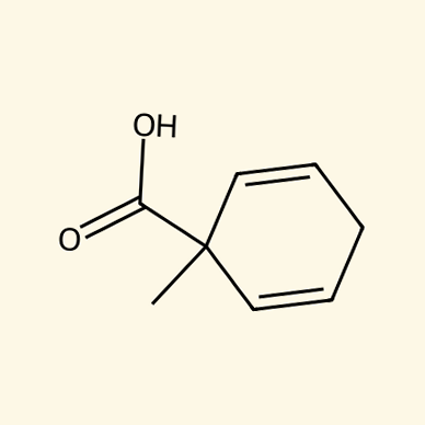 CC1(C(=O)O)C=CCC=C1